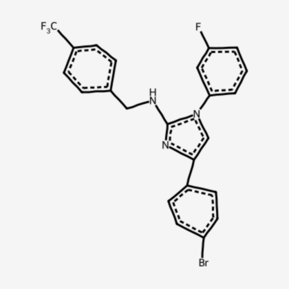 Fc1cccc(-n2cc(-c3ccc(Br)cc3)nc2NCc2ccc(C(F)(F)F)cc2)c1